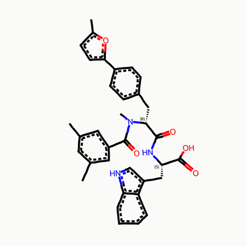 Cc1cc(C)cc(C(=O)N(C)[C@H](Cc2ccc(-c3ccc(C)o3)cc2)C(=O)N[C@@H](Cc2c[nH]c3ccccc23)C(=O)O)c1